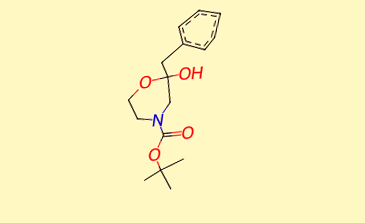 CC(C)(C)OC(=O)N1CCOC(O)(Cc2ccccc2)C1